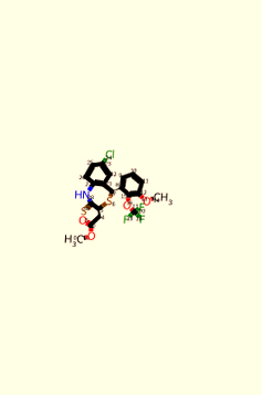 COC(=O)C[C@@H]1S[C@@H](c2cccc(OC)c2OC(F)(F)F)c2cc(Cl)ccc2NC1=S